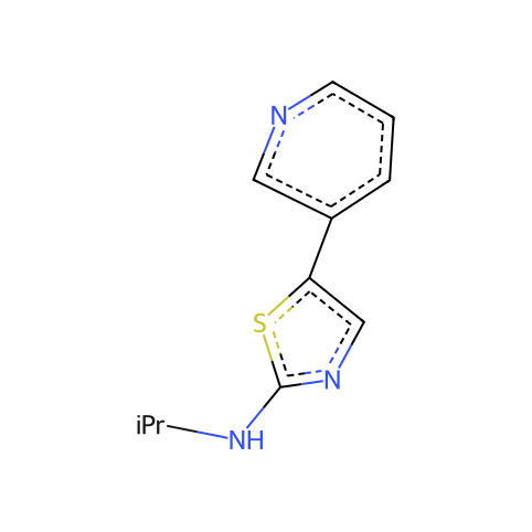 CC(C)Nc1ncc(-c2cccnc2)s1